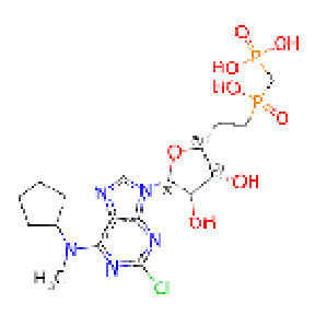 CN(c1nc(Cl)nc2c1ncn2[C@@H]1O[C@H](CCP(=O)(O)CP(=O)(O)O)[C@H](O)C1O)C1CCCC1